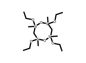 CCO[Si]1(C)C[Si](C)(OCC)O[Si](C)(OCC)C[Si](C)(OCC)O1